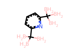 BC(B)(B)c1cccc(C(B)(B)B)n1